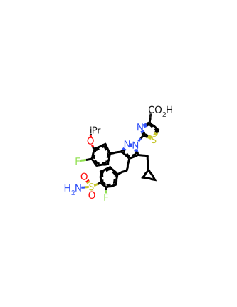 CC(C)Oc1cc(-c2nn(-c3nc(C(=O)O)cs3)c(CC3CC3)c2Cc2ccc(S(N)(=O)=O)c(F)c2)ccc1F